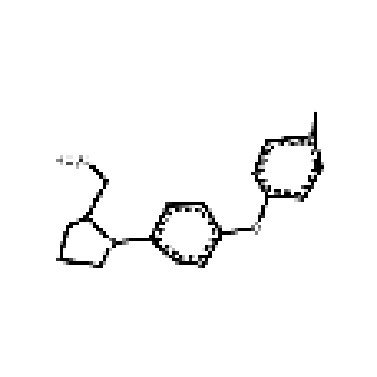 Cc1ccc(Oc2ccc(N3CCCC3CC(=O)O)cc2)cc1